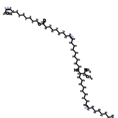 CCCCCCCC/C=C\CCCCCCCCOC(=O)CCCCCCC/C=C\CCCCCCCCNC(CCCCCCCC/C=C\CCCCCCCC(=O)O)C(C)N